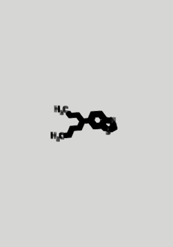 CCCCC(CCC)c1ccc2ncsc2c1